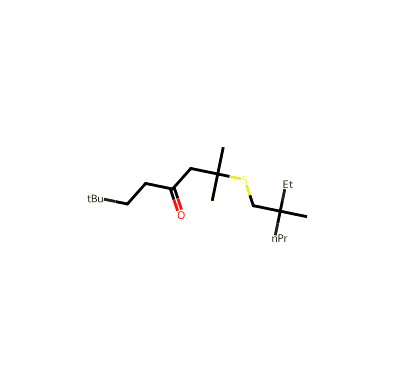 CCCC(C)(CC)CSC(C)(C)CC(=O)CCC(C)(C)C